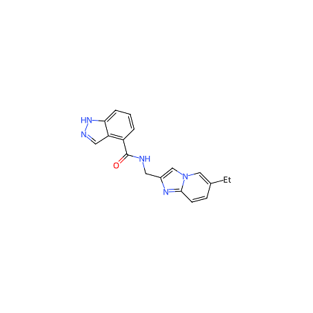 CCc1ccc2nc(CNC(=O)c3cccc4[nH]ncc34)cn2c1